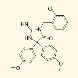 COc1ccc(C2(c3ccc(OC)cc3)NC(=N)N(Cc3ccccc3Cl)C2=O)cc1